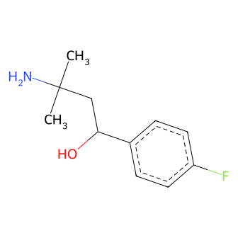 CC(C)(N)CC(O)c1ccc(F)cc1